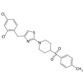 Cc1ccc(S(=O)(=O)C2CCN(c3nc(Cc4ccc(Cl)cc4Cl)cs3)CC2)cc1